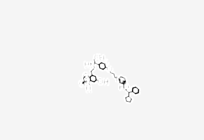 CCC(NCCc1cc(O)cc2c1OCC(=O)N2)c1ccc(OCCC[N+]23CCC(CC2)[C@H](OCC(c2ccccc2)C2CCCC2)C3)cc1